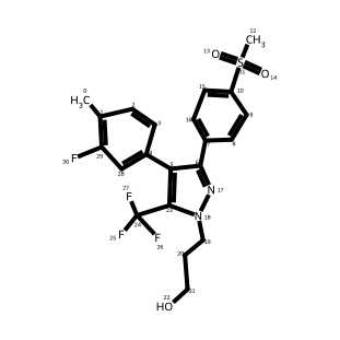 Cc1ccc(-c2c(-c3ccc(S(C)(=O)=O)cc3)nn(CCCO)c2C(F)(F)F)cc1F